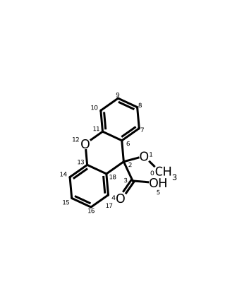 COC1(C(=O)O)c2ccccc2Oc2ccccc21